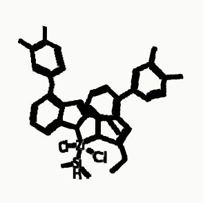 CCC1=Cc2c(-c3ccc(C)c(C)c3)cccc2[CH]1[Zr]([Cl])([Cl])([CH]1C(CC)=Cc2c(-c3ccc(C)c(C)c3)cccc21)[SiH](C)C